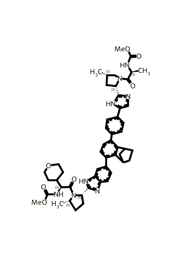 COC(=O)N[C@@H](C)C(=O)N1C[C@@H](C)C[C@H]1c1ncc(-c2ccc(-c3ccc(-c4ccc5nc([C@@H]6CC[C@H](C)N6C(=O)[C@@H](NC(=O)OC)C6CCOCC6)[nH]c5c4)c4c3C3CCC4C3)cc2)[nH]1